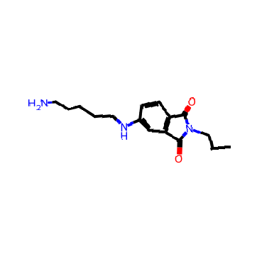 CCCN1C(=O)c2ccc(NCCCCCN)cc2C1=O